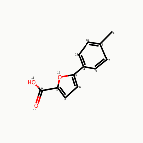 Cc1ccc(-c2ccc(C(=O)O)o2)cc1